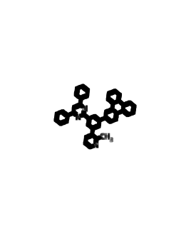 Cc1ncccc1-c1cc(-c2ccc3c4ccccc4c4ccccc4c3c2)cc(-c2nc(-c3ccccc3)cc(-c3ccccc3)n2)c1